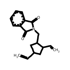 C=CC1CC(C=C)C(CN2C(=O)c3ccccc3C2=O)C1